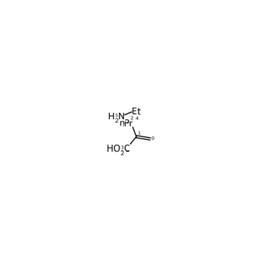 C=C(CCC)C(=O)O.CCN